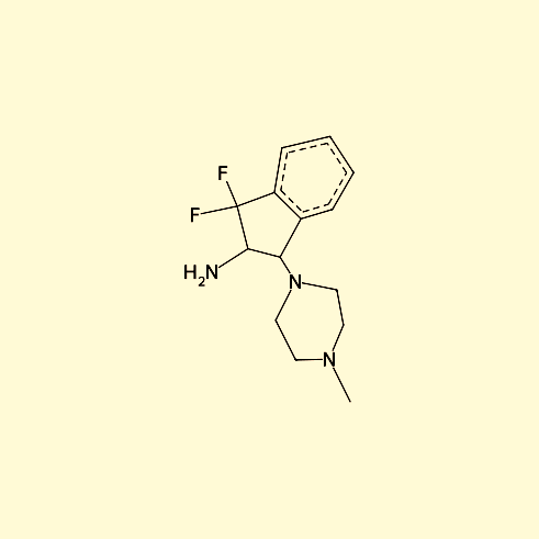 CN1CCN(C2c3ccccc3C(F)(F)C2N)CC1